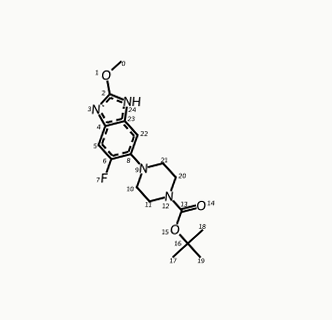 COc1nc2cc(F)c(N3CCN(C(=O)OC(C)(C)C)CC3)cc2[nH]1